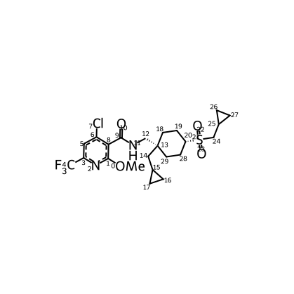 COc1nc(C(F)(F)F)cc(Cl)c1C(=O)NC[C@]1(CC2CC2)CC[C@H](S(=O)(=O)CC2CC2)CC1